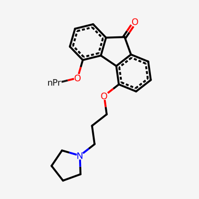 CCCOc1cccc2c1-c1c(OCCCN3CCCC3)cccc1C2=O